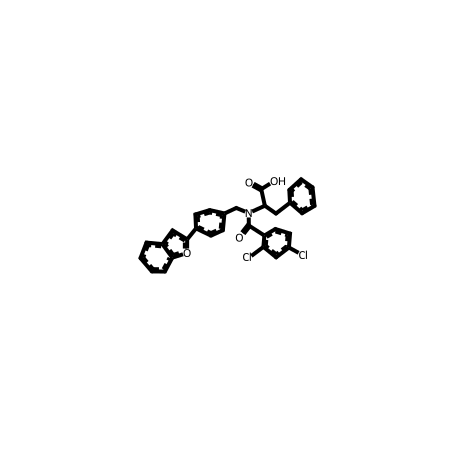 O=C(O)C(Cc1ccccc1)N(Cc1ccc(-c2cc3ccccc3o2)cc1)C(=O)c1ccc(Cl)cc1Cl